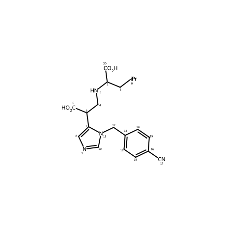 CC(C)CC(NCC(C(=O)O)c1cncn1Cc1ccc(C#N)cc1)C(=O)O